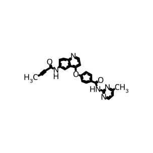 CC#CC(=O)Nc1ccc2nccc(Oc3ccc(C(=O)Nc4nccc(C)n4)cc3)c2c1